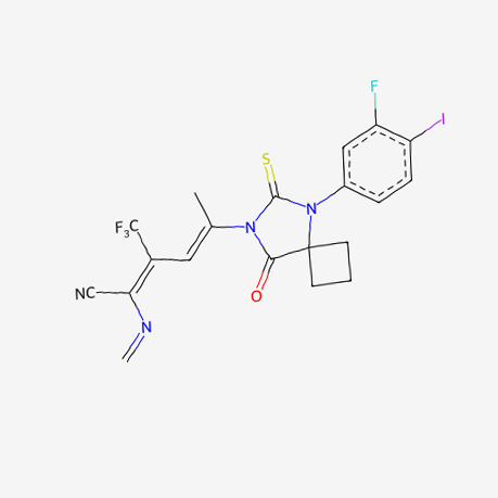 C=N/C(C#N)=C(\C=C(/C)N1C(=O)C2(CCC2)N(c2ccc(I)c(F)c2)C1=S)C(F)(F)F